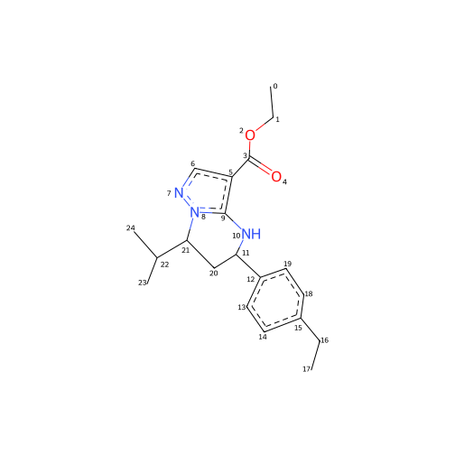 CCOC(=O)c1cnn2c1NC(c1ccc(CC)cc1)CC2C(C)C